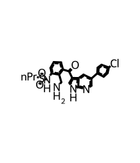 CCCS(=O)(=O)Nc1cccc(C(=O)c2c[nH]c3ncc(-c4ccc(Cl)cc4)cc23)c1CN